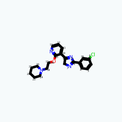 Clc1cccc(C2=NCC(c3cccnc3OCCN3CCCCC3)=N2)c1